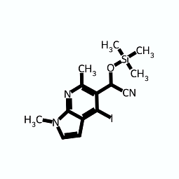 Cc1nc2c(ccn2C)c(I)c1C(C#N)O[Si](C)(C)C